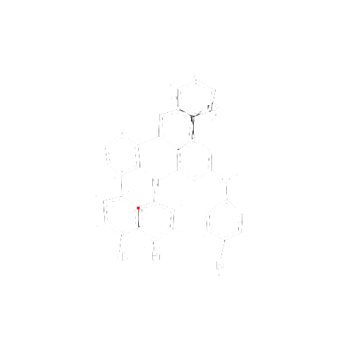 CC(C)(C)c1ccc(-c2cccc(-c3ccc(C(C)(C)C)cc3)c2N(c2ccc(Br)cc2)c2cc(Oc3ccc(Br)cc3)cc(-c3ccccc3)c2)cc1